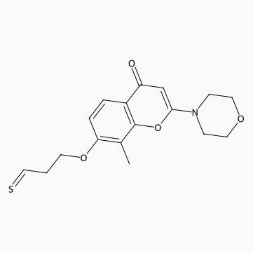 Cc1c(OCCC=S)ccc2c(=O)cc(N3CCOCC3)oc12